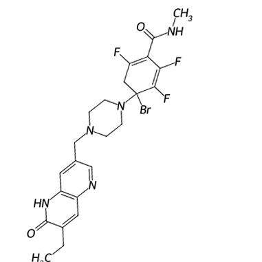 CCc1cc2ncc(CN3CCN(C4(Br)CC(F)=C(C(=O)NC)C(F)=C4F)CC3)cc2[nH]c1=O